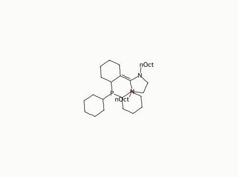 CCCCCCCCN1CCN(CCCCCCCC)C1=C1CCCCC1P(C1CCCCC1)C1CCCCC1